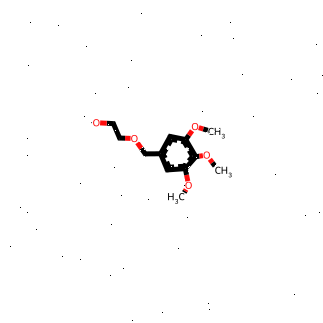 COc1cc(COCC[O])cc(OC)c1OC